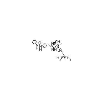 CNc1sc2c(c1C(=N)NCCc1ccc(NC(=O)Nc3ccccc3)cc1)CCN(CCCN(C)C)C2